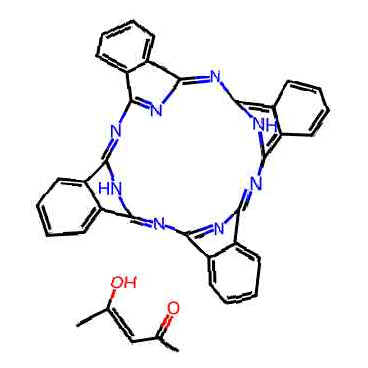 CC(=O)/C=C(/C)O.c1ccc2c(c1)-c1nc-2nc2[nH]c(nc3nc(nc4[nH]c(n1)c1ccccc41)-c1ccccc1-3)c1ccccc21